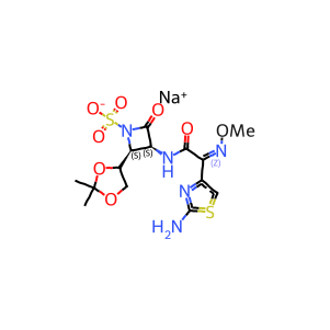 CO/N=C(\C(=O)N[C@@H]1C(=O)N(S(=O)(=O)[O-])[C@@H]1C1COC(C)(C)O1)c1csc(N)n1.[Na+]